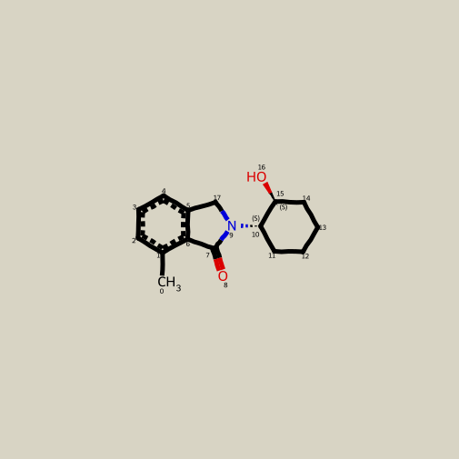 Cc1cccc2c1C(=O)N([C@H]1CCCC[C@@H]1O)C2